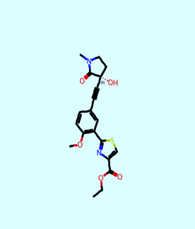 CCOC(=O)c1csc(-c2cc(C#C[C@]3(O)CCN(C)C3=O)ccc2OC)n1